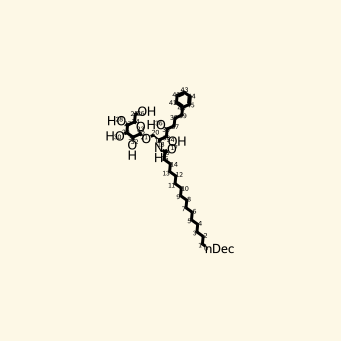 CCCCCCCCCCCCCCCCCCCCCCCCCC(=O)N[C@@H](COC1OC(CO)C(O)C(O)C1O)[C@H](O)[C@H](O)CCCc1ccccc1